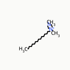 CCCCCCCCCCCCCCCC[N+]1(CC)CCN(C)CC1